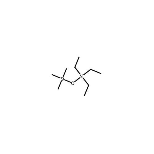 CC[Si](CC)(CC)O[Si](C)(C)C